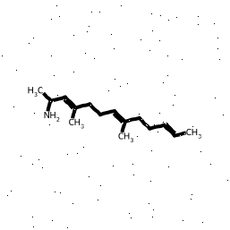 C/C=C/CC/C(C)=C/CC/C(C)=C/C(C)N